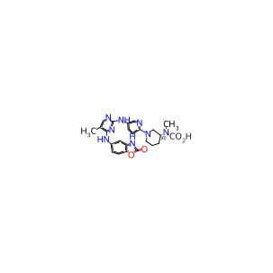 Cc1cnc(Nc2ccc(N3CCC[C@@H](N(C)C(=O)O)C3)nc2)nc1Nc1ccc2oc(=O)[nH]c2c1